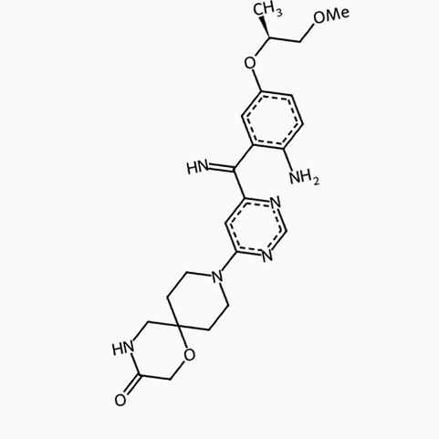 COC[C@H](C)Oc1ccc(N)c(C(=N)c2cc(N3CCC4(CC3)CNC(=O)CO4)ncn2)c1